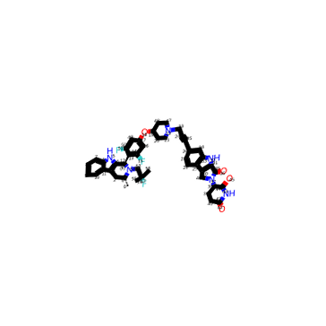 C[C@@H]1Cc2c([nH]c3ccccc23)[C@@H](c2c(F)cc(OC3CCN(CC#Cc4ccc5c6c([nH]c5c4)C(=O)N(C4CCC(=O)NC4=O)C6)CC3)cc2F)N1CC(C)(C)F